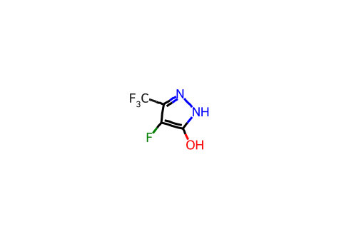 Oc1[nH]nc(C(F)(F)F)c1F